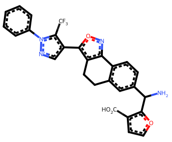 NC(c1ccc2c(c1)CCc1c-2noc1-c1cnn(-c2ccccc2)c1C(F)(F)F)c1occc1C(=O)O